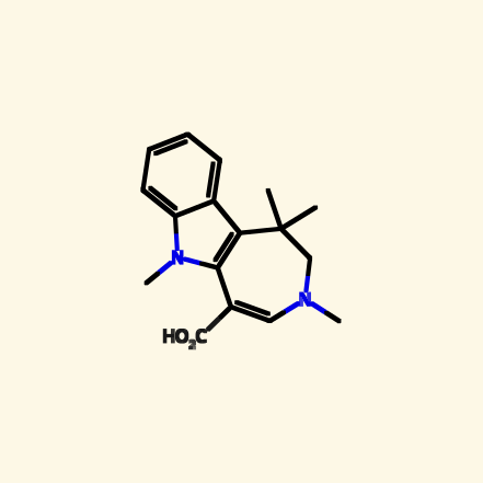 CN1C=C(C(=O)O)c2c(c3ccccc3n2C)C(C)(C)C1